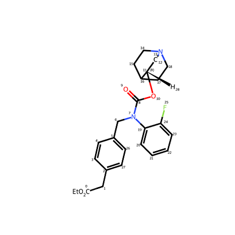 CCOC(=O)Cc1ccc(CN(C(=O)O[C@H]2CN3CCC2CC3)c2ccccc2F)cc1